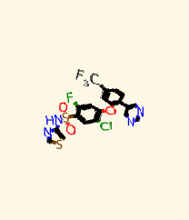 O=S(=O)(Nc1cscn1)c1cc(Cl)c(Oc2cc(C(F)(F)F)ccc2-c2cncnc2)cc1F